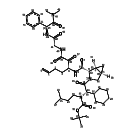 C=CCCC(NC(=O)[C@@H]1[C@H]2C[C@H]2CN1C(=O)[C@H](C1CCCCC1)N(CCC(C)C)C(=O)OC(C)(C)C)C(=O)C(=O)NCC(=O)N[C@H](C(=O)N(C)C)c1ccccc1